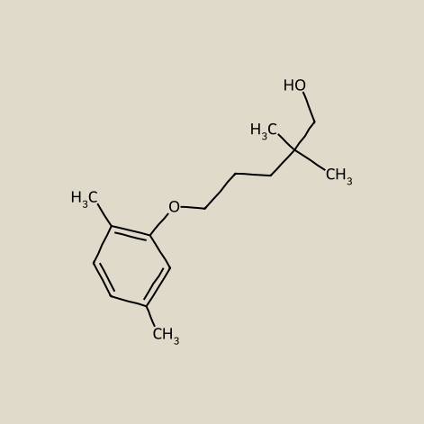 Cc1ccc(C)c(OCCCC(C)(C)CO)c1